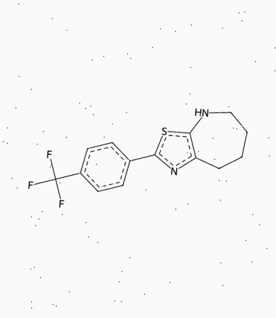 FC(F)(F)c1ccc(-c2nc3c(s2)NCCCC3)cc1